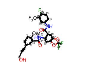 COc1ccc(C#CCO)cc1C(=O)Nc1cc2c(cc1C(=O)Nc1ccc(F)c(C(F)(F)F)c1)OC(F)(F)O2